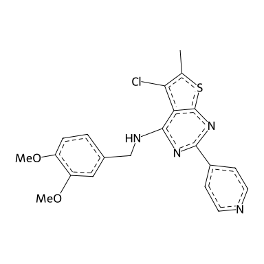 COc1ccc(CNc2nc(-c3ccncc3)nc3sc(C)c(Cl)c23)cc1OC